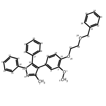 COc1cc(-c2c(C)nn(-c3ccccc3)c2-c2ccccc2)ccc1OCCOCc1ccccc1